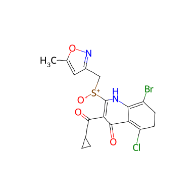 Cc1cc(C[S+]([O-])c2[nH]c3c(c(=O)c2C(=O)C2CC2)=C(Cl)CCC=3Br)no1